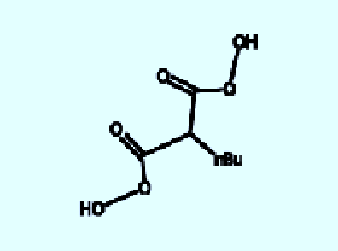 CCCCC(C(=O)OO)C(=O)OO